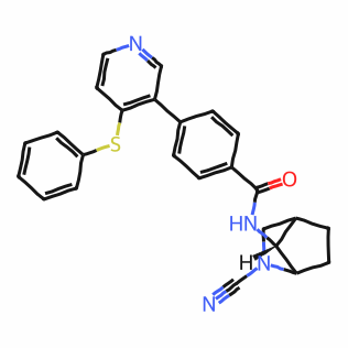 N#CN1CC2CCC1[C@@H]2NC(=O)c1ccc(-c2cnccc2Sc2ccccc2)cc1